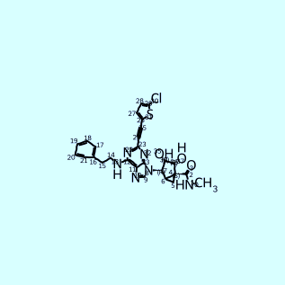 CNC(=O)[C@@]12CC1[C@@H](n1cnc3c(NCCc4ccccc4)nc(C#Cc4ccc(Cl)s4)nc31)[C@H](O)[C@@H]2O